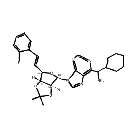 CC1(C)O[C@H]2[C@H](O1)[C@@H](C=Cc1ccccc1F)O[C@H]2n1cnc2c(C(N)C3CCCCC3)ncnc21